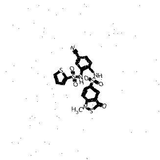 Cn1sc(=O)c2cc(S(=O)(=O)Nc3ccc(C#N)cc3NS(=O)(=O)c3cccs3)ccc21